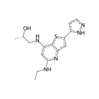 CCNc1cc(NC[C@H](C)O)c2sc(-c3ccn[nH]3)cc2n1